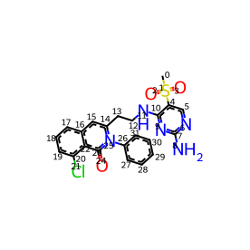 CS(=O)(=O)c1cnc(N)nc1NCCc1cc2cccc(Cl)c2c(=O)n1-c1ccccc1